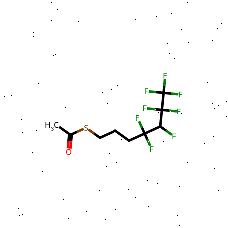 CC(=O)SCCCC(F)(F)C(F)C(F)(F)C(F)(F)F